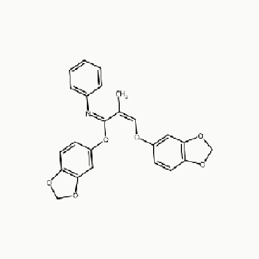 CC(=COc1ccc2c(c1)OCO2)C(=Nc1ccccc1)Oc1ccc2c(c1)OCO2